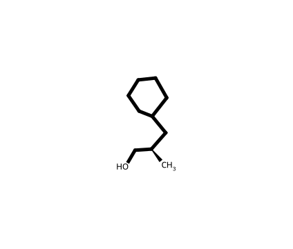 C[C@@H](CO)CC1CCCCC1